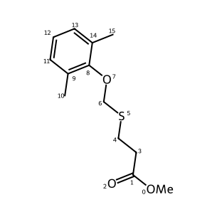 COC(=O)CCSCOc1c(C)cccc1C